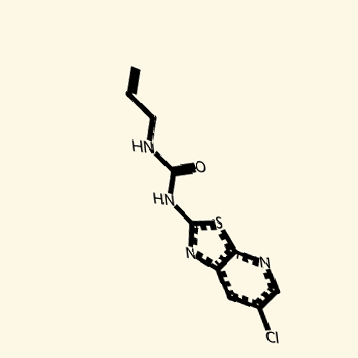 C=CCNC(=O)Nc1nc2cc(Cl)cnc2s1